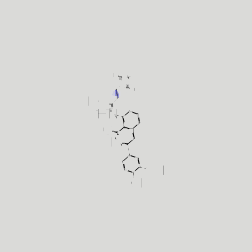 Cc1ccc(-c2cc3cccc(N[C@@H](C)/C=C/S(C)(=O)=O)c3c(=O)[nH]2)cc1C